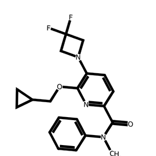 CN(C(=O)c1ccc(N2CC(F)(F)C2)c(OCC2CC2)n1)c1ccccc1